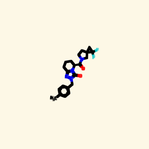 Cc1ccc(Cn2nc3n(c2=O)[C@H](C(=O)N2CCC4(C2)CC4(F)F)CCC3)cc1